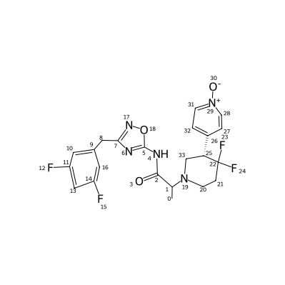 CC(C(=O)Nc1nc(Cc2cc(F)cc(F)c2)no1)N1CCC(F)(F)[C@@H](c2cc[n+]([O-])cc2)C1